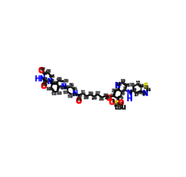 CC(C)(C)S(=O)(=O)c1cc2c(Nc3ccc4scnc4c3)ccnc2cc1OCCCCCCCC(=O)N1CCC(n2ccc3c(N4CCC(=O)NC4=O)cccc32)CC1